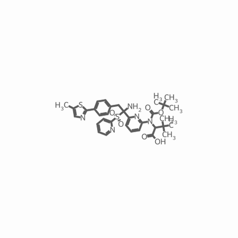 Cc1cnc(-c2ccc(CC(N)(c3cccc(N(C(=O)OC(C)(C)C)C(C(=O)O)C(C)(C)C)n3)S(=O)(=O)c3ccccn3)cc2)s1